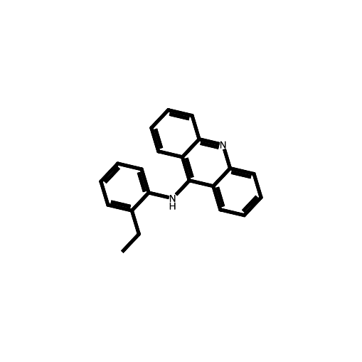 CCc1ccccc1Nc1c2ccccc2nc2ccccc12